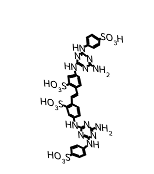 Nc1nc(Nc2ccc(S(=O)(=O)O)cc2)nc(Nc2ccc(C=Cc3ccc(Nc4nc(N)nc(Nc5ccc(S(=O)(=O)O)cc5)n4)cc3S(=O)(=O)O)c(S(=O)(=O)O)c2)n1